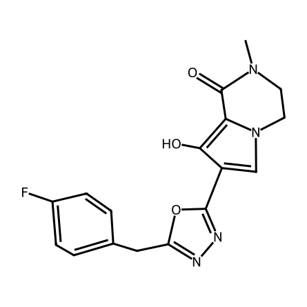 CN1CCn2cc(-c3nnc(Cc4ccc(F)cc4)o3)c(O)c2C1=O